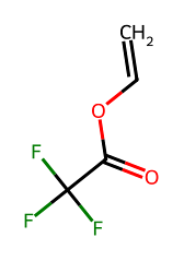 C=COC(=O)C(F)(F)F